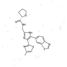 Cc1csc(-c2nc(CNC(=O)[C@@H]3CCCO3)[nH]c2-c2ccc3ncsc3c2)n1